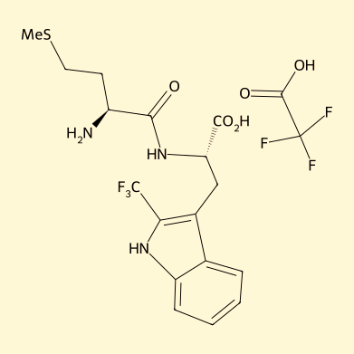 CSCC[C@H](N)C(=O)N[C@@H](Cc1c(C(F)(F)F)[nH]c2ccccc12)C(=O)O.O=C(O)C(F)(F)F